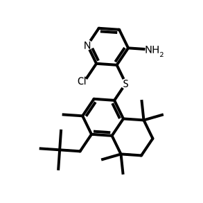 Cc1cc(Sc2c(N)ccnc2Cl)c2c(c1CC(C)(C)C)C(C)(C)CCC2(C)C